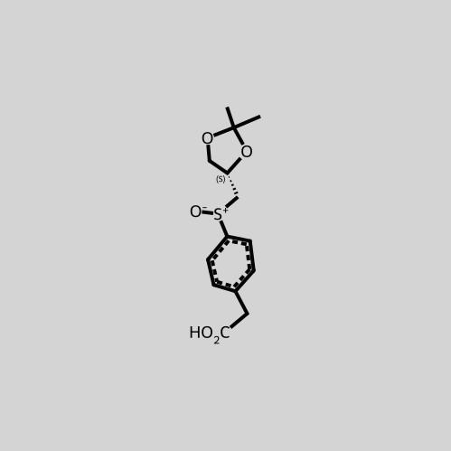 CC1(C)OC[C@@H](C[S+]([O-])c2ccc(CC(=O)O)cc2)O1